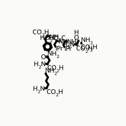 CC(C)CC(N)C(=O)O.CC(C)CC(N)C(=O)O.NC(=O)CC(N)C(=O)O.NC(CO)C(=O)O.NC(Cc1ccccc1)C(=O)O.NCC(=O)O.NCCCCC(N)C(=O)O